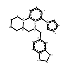 c1cn(-c2nccc(N3CCCCC3CNCc3ccc4c(c3)OCO4)n2)cn1